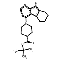 CC(C)(C)OC(=O)N1CCN(c2ncnc3[nH]c4c(c23)CCCC4)CC1